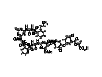 CCS(=O)(=O)c1cccnc1S(=O)(=O)NC(=O)Nc1nc(OC)cc(OC)n1.COc1nc(C)nc(NC(=O)NS(=O)(=O)c2ccccc2CCC(F)(F)F)n1.C[C@H](OC(=O)c1cc(Oc2ccc(C(F)(F)F)cc2Cl)ccc1Cl)C(=O)O